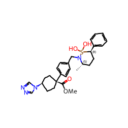 COC(=O)[C@]1(c2ccc(CN3[C@@H](C)CC[C@H](c4ccccc4)S3(O)O)cc2)CC[C@H](n2cnnc2)CC1